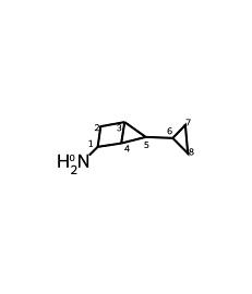 NC1CC2C1C2C1CC1